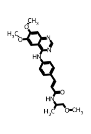 COCC(C)NC(=O)C=Cc1ccc(Nc2ncnc3cc(OC)c(OC)cc23)cc1